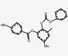 CCCCc1ccc(C(=O)Oc2cc(C(C)(C)C)cc(C)c2OC(=O)Oc2ccccc2)cc1